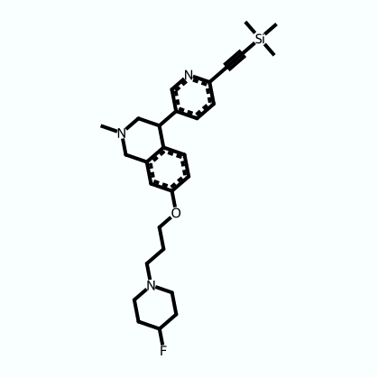 CN1Cc2cc(OCCCN3CCC(F)CC3)ccc2C(c2ccc(C#C[Si](C)(C)C)nc2)C1